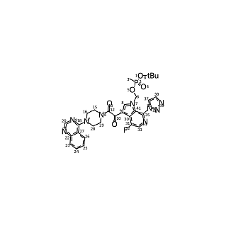 CC(C)(C)OP(C)(=O)OCn1cc(C(=O)C(=O)N2CCN(c3ncnc4ccccc34)CC2)c2c(F)cnc(-n3ccnn3)c21